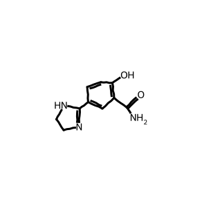 NC(=O)c1cc(C2=NCCN2)ccc1O